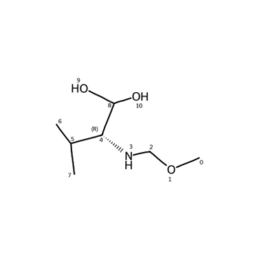 COCN[C@H](C(C)C)C(O)O